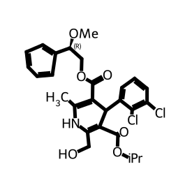 CO[C@@H](COC(=O)C1=C(C)NC(CO)=C(C(=O)OC(C)C)C1c1cccc(Cl)c1Cl)c1ccccc1